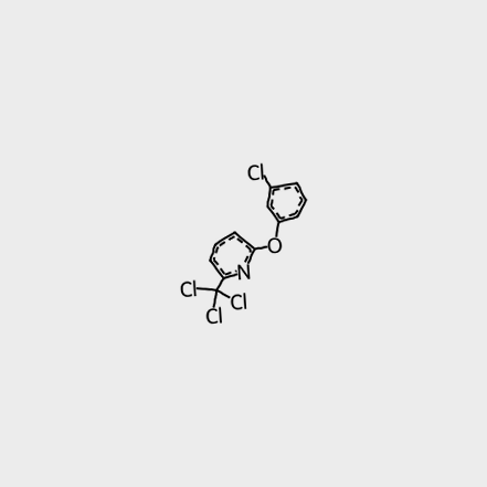 Clc1cccc(Oc2cccc(C(Cl)(Cl)Cl)n2)c1